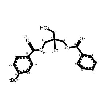 CCC(CO)(COC(=O)c1ccccc1)COC(=O)c1ccc(C(C)(C)C)cc1